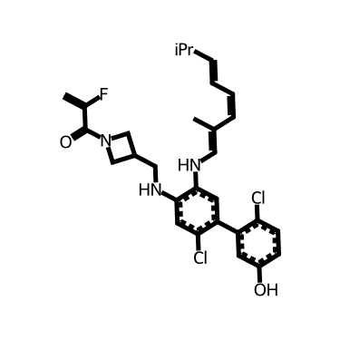 C=C(F)C(=O)N1CC(CNc2cc(Cl)c(-c3cc(O)ccc3Cl)cc2N/C=C(C)/C=C\C=C\C(C)C)C1